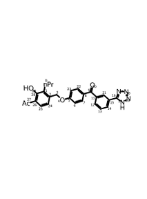 CCCc1c(COc2ccc(C(=O)c3cccc(-c4nnn[nH]4)c3)cc2)ccc(C(C)=O)c1O